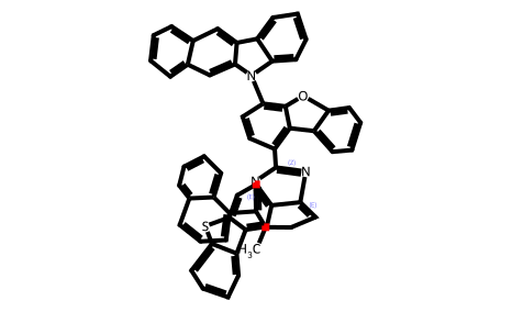 CC1C/C=C(c2ccc3sc4ccccc4c3c2)/N=C(c2ccc(-n3c4ccccc4c4cc5ccccc5cc43)c3oc4ccccc4c23)\N=C/1c1cccc2ccccc12